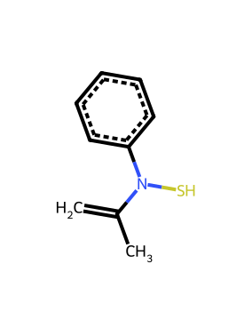 C=C(C)N(S)c1ccccc1